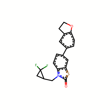 O=c1sc2cc(-c3ccc4c(c3)CCO4)ccc2n1CC1CC1(F)F